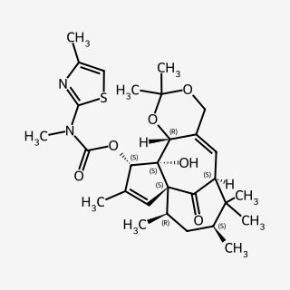 CC1=C[C@]23C(=O)[C@@H](C=C4COC(C)(C)O[C@H]4[C@]2(O)[C@H]1OC(=O)N(C)c1nc(C)cs1)C(C)(C)[C@@H](C)C[C@H]3C